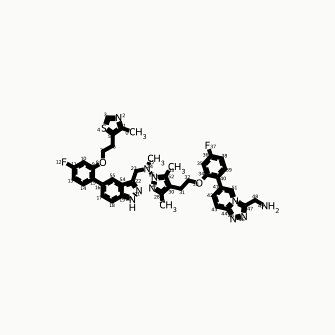 Cc1ncsc1CCOc1cc(F)ccc1-c1ccc2[nH]nc(CN(C)n3nc(C)c(CCOc4cc(F)ccc4-c4ccc5nnc(CN)n5c4)c3C)c2c1